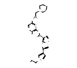 Cc1ncc(NC(=O)CN2CCCC[C@H]2C)cc1NC(=O)c1cnn2cc(-c3cnn(CCO)c3)sc12